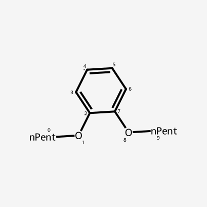 CCCCCOc1c[c]ccc1OCCCCC